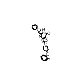 Cc1ccccc1OC1CCN(c2nc3nc(COc4ccccc4)[nH]c(=O)c3s2)CC1